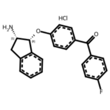 Cl.N[C@H]1Cc2ccccc2[C@H]1Oc1ccc(C(=O)c2ccc(F)cc2)cc1